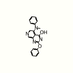 CN(c1ccccc1)c1cncc2nc(Oc3ccccc3)nc(O)c12